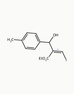 CCOC(=O)/C(=C\I)C(O)c1ccc(C)cc1